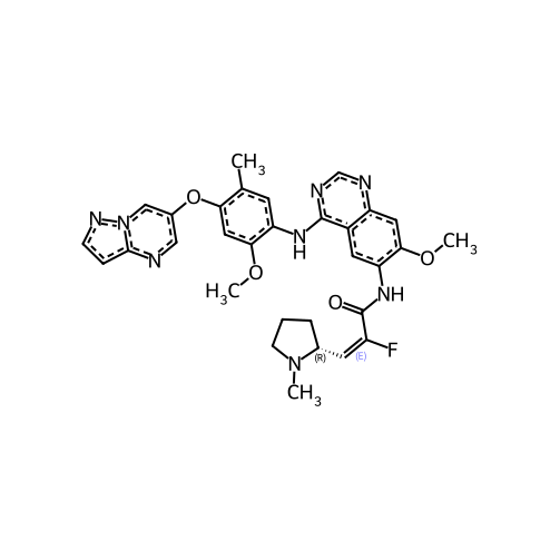 COc1cc2ncnc(Nc3cc(C)c(Oc4cnc5ccnn5c4)cc3OC)c2cc1NC(=O)/C(F)=C\[C@H]1CCCN1C